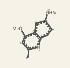 COc1cc(C)nc2ccc(NC(C)=O)cc12